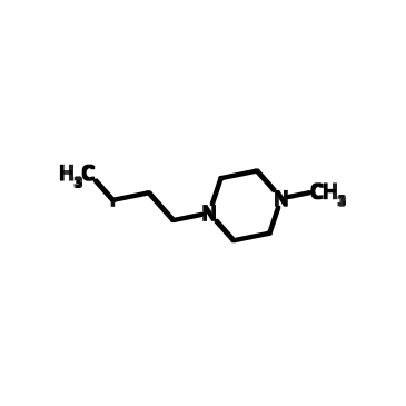 C[CH]CCN1CCN(C)CC1